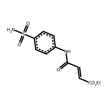 CCOC(=O)/C=C/C(=O)Nc1ccc(S(N)(=O)=O)cc1